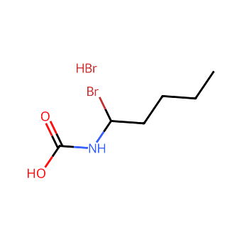 Br.CCCCC(Br)NC(=O)O